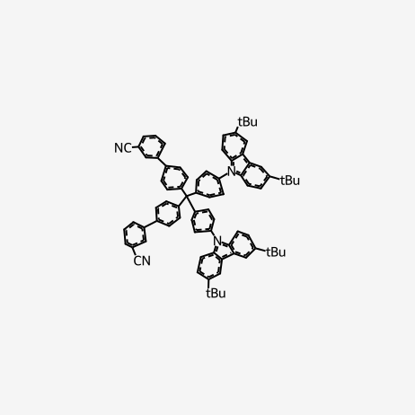 CC(C)(C)c1ccc2c(c1)c1cc(C(C)(C)C)ccc1n2-c1ccc(C(c2ccc(-c3cccc(C#N)c3)cc2)(c2ccc(-c3cccc(C#N)c3)cc2)c2ccc(-n3c4ccc(C(C)(C)C)cc4c4cc(C(C)(C)C)ccc43)cc2)cc1